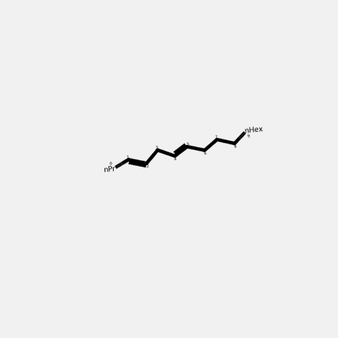 [CH2]CC/C=C/C/C=C/CCCCCCCCC